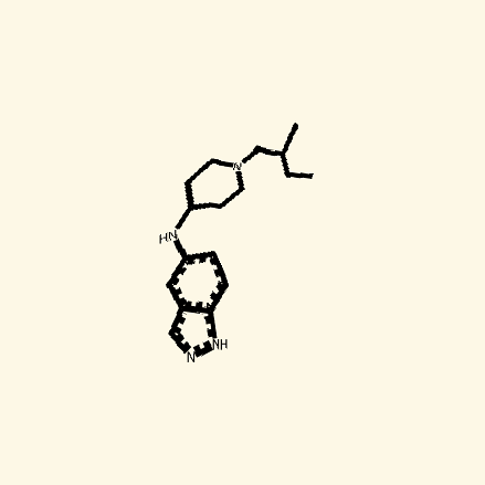 CCC(C)CN1CCC(Nc2ccc3[nH]ncc3c2)CC1